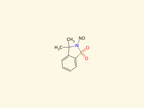 CC1(C)c2ccccc2S(=O)(=O)N1N=O